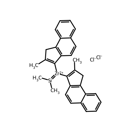 CC1=[C]([Zr+2]([C]2=C(C)Cc3c2ccc2ccccc32)=[Si](C)C)c2ccc3ccccc3c2C1.[Cl-].[Cl-]